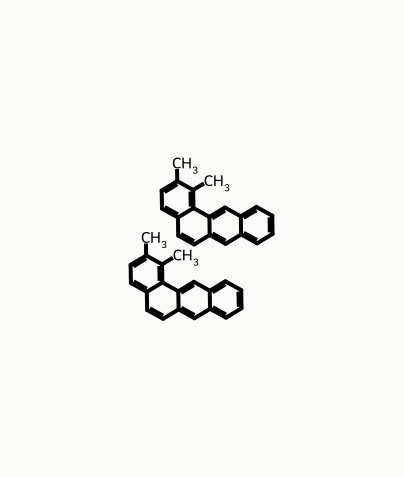 Cc1ccc2ccc3cc4ccccc4cc3c2c1C.Cc1ccc2ccc3cc4ccccc4cc3c2c1C